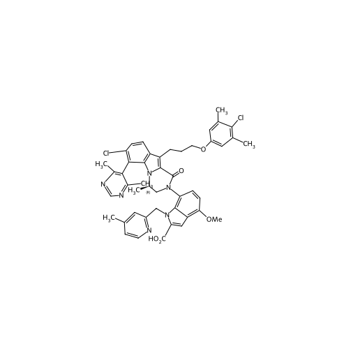 COc1ccc(N2C[C@@H](C)n3c(c(CCCOc4cc(C)c(Cl)c(C)c4)c4ccc(Cl)c(-c5c(C)ncnc5C)c43)C2=O)c2c1cc(C(=O)O)n2Cc1cc(C)ccn1